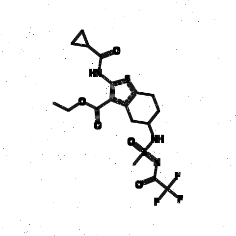 CCOC(=O)c1c(NC(=O)C2CC2)sc2c1CC(NS(C)(=O)=NC(=O)C(F)(F)F)CC2